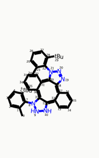 Cc1cccc(C(C)(C)C)c1-n1[nH][nH]c2c3ccccc3c3nnn(-c4c(C)cccc4C(C)(C)C)c3c3ccccc3c1-2